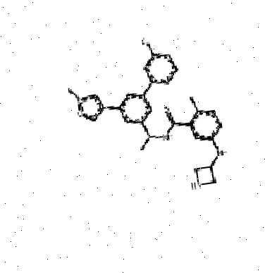 Cc1ccc(NC2CNC2)cc1C(=O)NC(C)c1cc(-c2cccc(Cl)c2)cc(-c2cnn(C)c2)c1